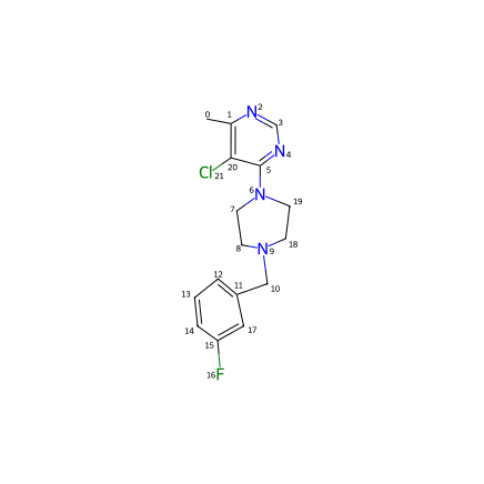 Cc1ncnc(N2CCN(Cc3cccc(F)c3)CC2)c1Cl